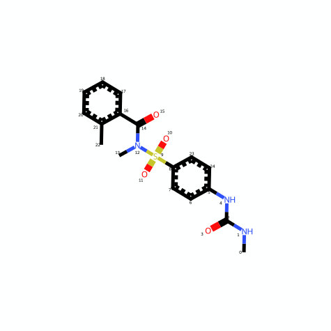 CNC(=O)Nc1ccc(S(=O)(=O)N(C)C(=O)c2ccccc2C)cc1